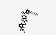 O=C(O)c1ccn(C(=O)N2CC3CC(Oc4cccc(C(F)(F)F)c4)CC3C2)n1